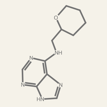 c1nc(NCC2CCCCO2)c2nc[nH]c2n1